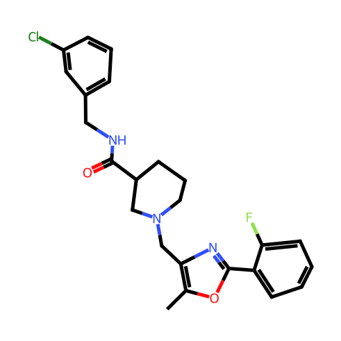 Cc1oc(-c2ccccc2F)nc1CN1CCCC(C(=O)NCc2cccc(Cl)c2)C1